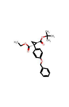 CCOC(=O)[C@]1(c2ccc(OCc3ccccc3)cc2)C[C@H]1C(=O)OC(C)(C)C